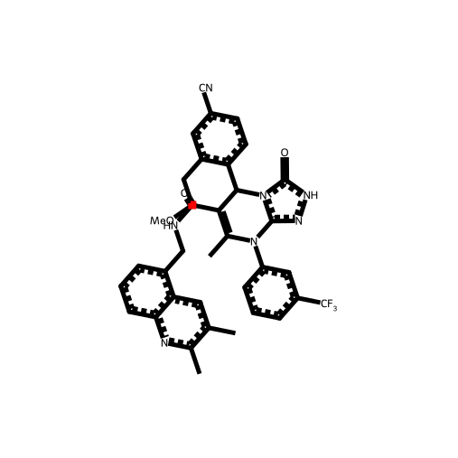 COC(=O)C1=C(C)N(c2cccc(C(F)(F)F)c2)c2n[nH]c(=O)n2C1c1ccc(C#N)cc1CCNCc1cccc2nc(C)c(C)cc12